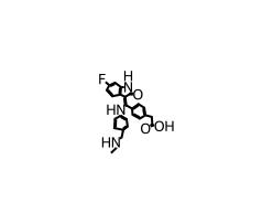 CCNCc1ccc(NC(=C2C(=O)Nc3cc(F)ccc32)c2ccc(CC(=O)O)cc2)cc1